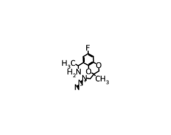 CC(N)c1cc(F)cc2c1OC(C)(CN=[N+]=[N-])CO2